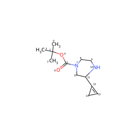 CC(C)(C)OC(=O)N1CCNC(C2=CC2)C1